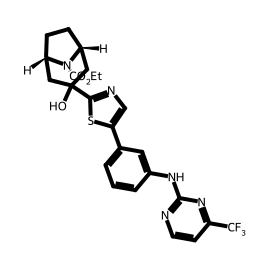 CCOC(=O)N1[C@@H]2CC[C@H]1CC(O)(c1ncc(-c3cccc(Nc4nccc(C(F)(F)F)n4)c3)s1)C2